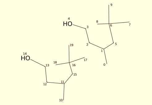 CC(CCO)CC(C)(C)C.CC(CCO)CC(C)(C)C